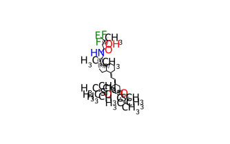 C[C@H](CNC(=O)C[C@](C)(O)C(F)(F)F)[C@H]1CCC2C(=CC=C3C[C@@H](O[Si](C)(C)C(C)(C)C)C[C@H](O[Si](C)(C)C(C)(C)C)C3)CCC[C@@]21C